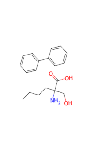 CCCCC(N)(CO)C(=O)O.c1ccc(-c2ccccc2)cc1